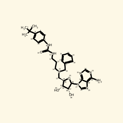 CC(C)(C)c1ccc(NC(=O)NCCCN(Cc2ccccc2)C[C@H]2OC(n3cnc4c(N)ncnc43)[C@H](O)[C@@H]2O)cc1